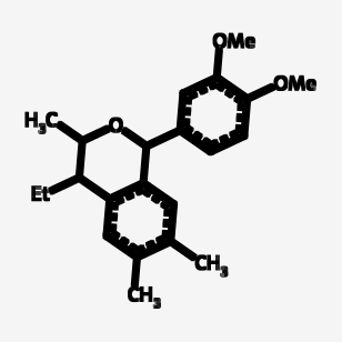 CCC1c2cc(C)c(C)cc2C(c2ccc(OC)c(OC)c2)OC1C